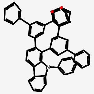 c1ccc(-c2cc(-c3ccccc3)cc(-c3ccc4c5ccccc5n(-c5ccccc5)c4c3-c3cc(-c4ccccc4)cc(-c4ccccc4)c3)c2)cc1